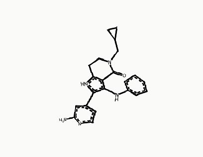 Nc1cc(-c2[nH]c3c(c2Nc2ccccc2)C(=O)N(CC2CC2)CC3)ccn1